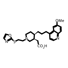 COc1ccc2nccc(CCC[C@@H]3CCN(CCSc4ncco4)C[C@@H]3CC(=O)O)c2c1